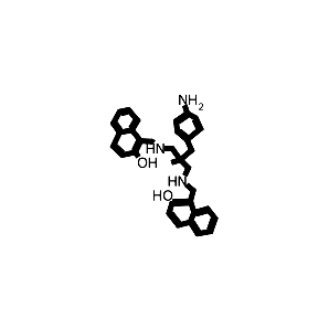 CC(CNCc1c(O)ccc2ccccc12)(CNCc1c(O)ccc2ccccc12)Cc1ccc(N)cc1